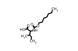 CCCCCCCOC(=O)NC(C(=O)O)C(C)CC